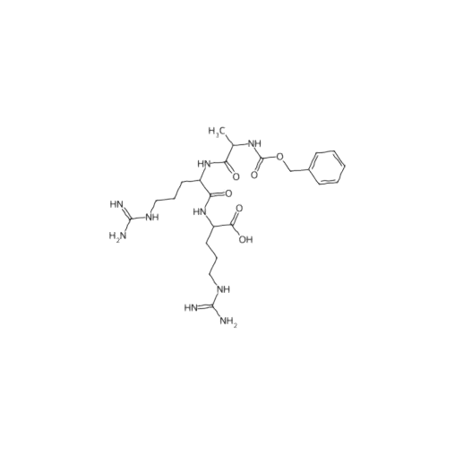 CC(NC(=O)OCc1ccccc1)C(=O)NC(CCCNC(=N)N)C(=O)NC(CCCNC(=N)N)C(=O)O